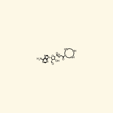 Nc1ncnc2c1ncn2[C@@H]1O[C@H](C(=O)NCC(=O)N2CCNCCNCCNCC2)[C@@H](O)[C@H]1C=O